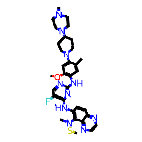 COc1cc(N2CCC(N3CCN(C)CC3)CC2)c(C)cc1Nc1ncc(F)c(Nc2ccc3nccnc3c2N(C)SC)n1